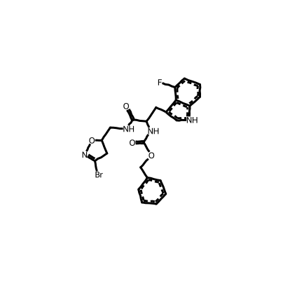 O=C(NC(Cc1c[nH]c2cccc(F)c12)C(=O)NCC1CC(Br)=NO1)OCc1ccccc1